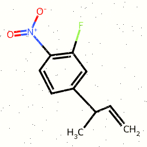 C=C[C](C)c1ccc([N+](=O)[O-])c(F)c1